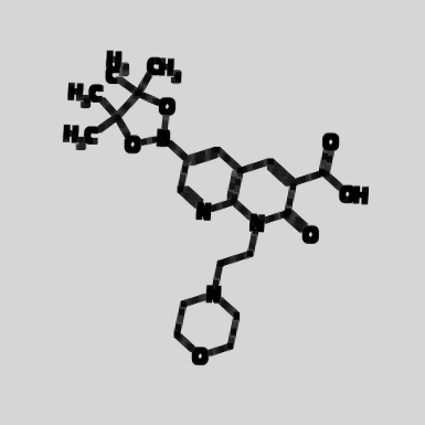 CC1(C)OB(c2cnc3c(c2)cc(C(=O)O)c(=O)n3CCN2CCOCC2)OC1(C)C